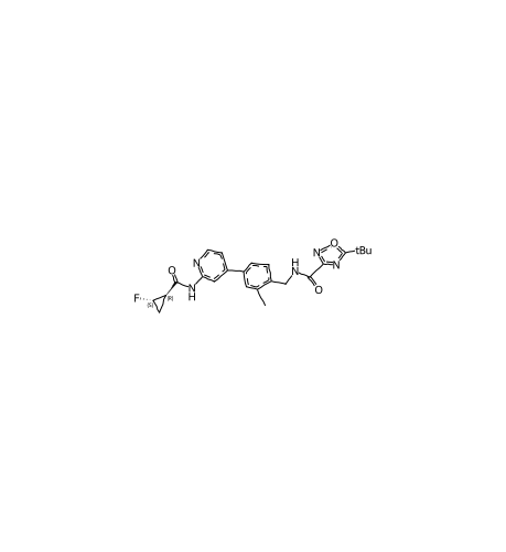 Cc1cc(-c2ccnc(NC(=O)[C@H]3C[C@@H]3F)c2)ccc1CNC(=O)c1noc(C(C)(C)C)n1